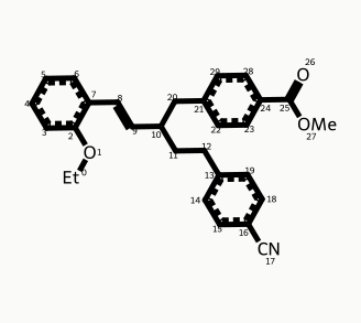 CCOc1ccccc1/C=C/C(CCc1ccc(C#N)cc1)Cc1ccc(C(=O)OC)cc1